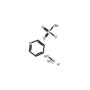 CCCCS(=O)(=O)[O-].O=S(=O)(O)O.[H+].c1ccncc1